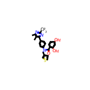 Cc1nc(C(F)(F)F)nc(-c2ccc(N(Cc3ccsc3)C(=O)c3ccc(O)cc3O)cc2)c1C